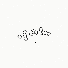 CC1(C)c2cc(-c3c4ccccc4c(-c4ccccc4)c4ccccc34)ccc2-c2ccc(-c3cccc4c3sc3cc5ccccc5cc34)cc21